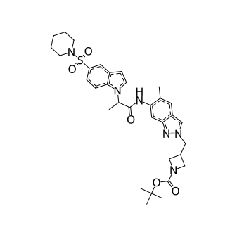 Cc1cc2cn(CC3CN(C(=O)OC(C)(C)C)C3)nc2cc1NC(=O)C(C)n1ccc2cc(S(=O)(=O)N3CCCCC3)ccc21